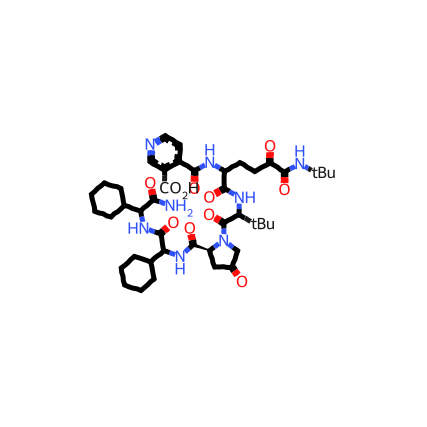 CC(C)(C)NC(=O)C(=O)CCC(NC(=O)c1ccncc1C(=O)O)C(=O)NC(C(=O)N1CC(=O)C[C@H]1C(=O)NC(C(=O)NC(C(N)=O)C1CCCCC1)C1CCCCC1)C(C)(C)C